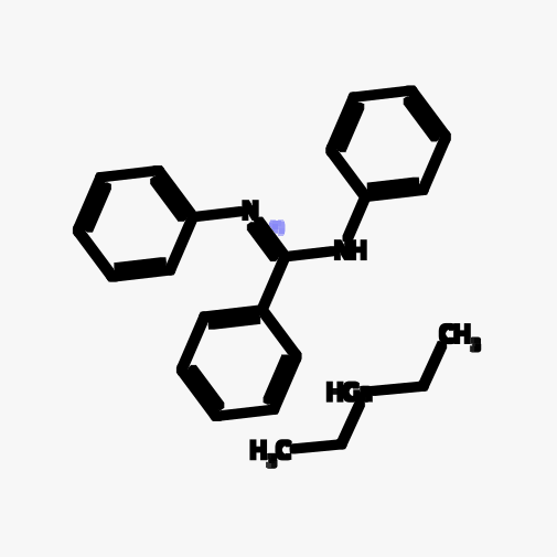 C[CH2][GaH][CH2]C.c1ccc(/N=C(/Nc2ccccc2)c2ccccc2)cc1